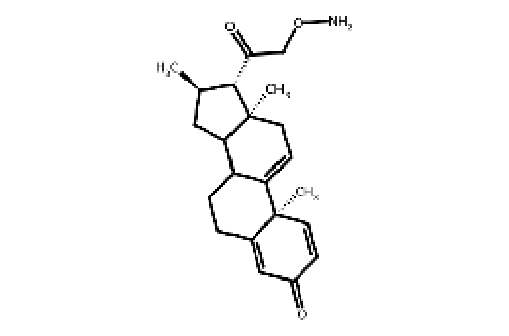 C[C@@H]1CC2C3CCC4=CC(=O)C=C[C@]4(C)C3=CC[C@]2(C)[C@H]1C(=O)CON